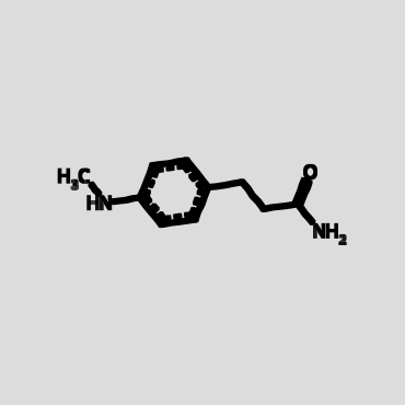 CNc1ccc(CCC(N)=O)cc1